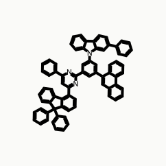 c1ccc(-c2ccc3c4ccccc4n(-c4cc(-c5nc(-c6ccccc6)cc(-c6cccc7c6-c6ccccc6C7(c6ccccc6)c6ccccc6)n5)cc(-c5cc6ccccc6c6ccccc56)c4)c3c2)cc1